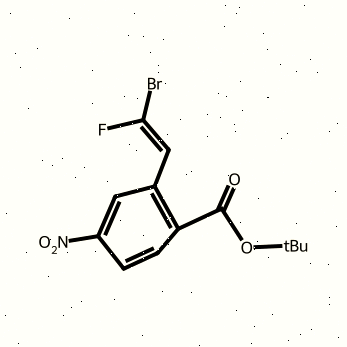 CC(C)(C)OC(=O)c1ccc([N+](=O)[O-])cc1/C=C(\F)Br